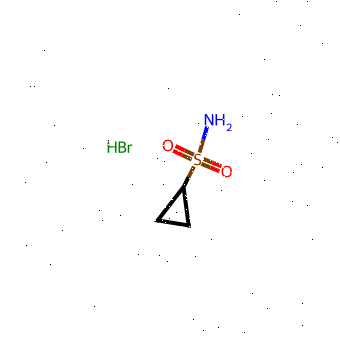 Br.NS(=O)(=O)C1CC1